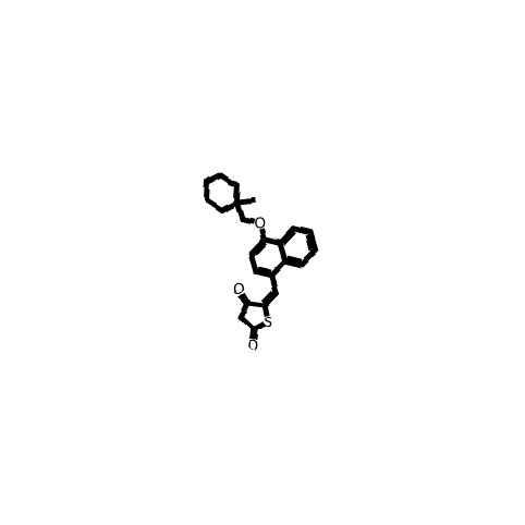 CC1(COc2ccc(/C=C3/SC(=O)CC3=O)c3ccccc23)CCCCC1